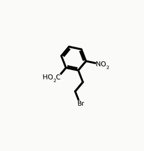 O=C(O)c1cccc([N+](=O)[O-])c1CCBr